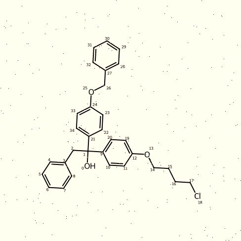 OC(Cc1ccccc1)(c1ccc(OCCCCCl)cc1)c1ccc(OCc2ccccc2)cc1